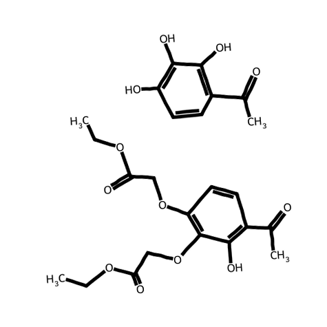 CC(=O)c1ccc(O)c(O)c1O.CCOC(=O)COc1ccc(C(C)=O)c(O)c1OCC(=O)OCC